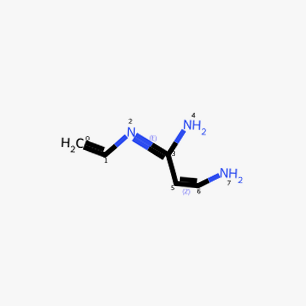 C=C/N=C(N)\C=C/N